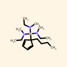 CCCC[C]1([Zr]([N](C)CC)([N](C)CC)[N](C)CC)C=CC=C1